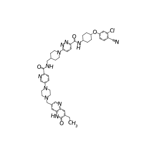 CCc1cc2ncc(CN3CCN(c4ccc(C(=O)NCC5CCN(c6ccc(C(=O)NC7CCC(Oc8ccc(C#N)c(Cl)c8)CC7)nn6)CC5)nc4)CC3)cc2[nH]c1=O